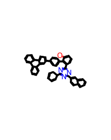 C1=CCC(c2nc(-c3ccc4ccccc4c3)nc(-c3cccc4oc5cc(-c6ccc7c8ccccc8c8ccccc8c7c6)ccc5c34)n2)C=C1